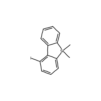 C[Si]1(C)c2ccccc2-c2c(I)cccc21